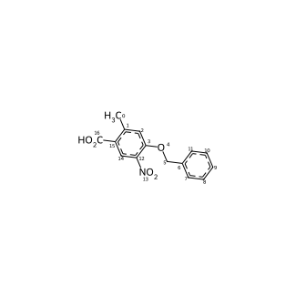 Cc1cc(OCc2ccccc2)c([N+](=O)[O-])cc1C(=O)O